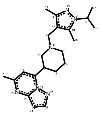 Cc1cc(C2CCCN(Cc3c(C)nn(C(C)C)c3C)C2)n2ncnc2n1